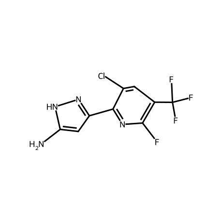 Nc1cc(-c2nc(F)c(C(F)(F)F)cc2Cl)n[nH]1